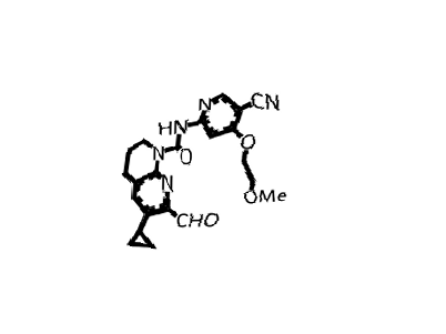 COCCOc1cc(NC(=O)N2CCCc3cc(C4CC4)c(C=O)nc32)ncc1C#N